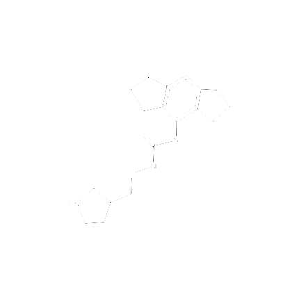 O=C(NSCC1CCNC1)Nc1c2c(cc3c1CCC3)CCC2